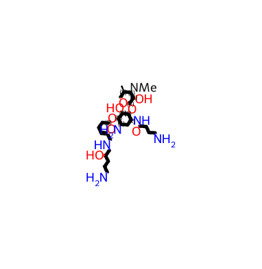 CN[C@@H]1[C@@H](O)[C@@H](O[C@@H]2[C@@H](O)[C@H](O[C@@H]3CCC=C(CNCC(O)CCCN)O3)[C@@H](N)C[C@H]2NC(=O)CCCN)OC[C@H]1C